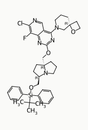 CC(C)(C)[Si](OC[C@H]1CC[C@@]2(COc3nc(N4CCC[C@@]5(CCO5)C4)c4cnc(Cl)c(F)c4n3)CCCN12)(c1ccccc1)c1ccccc1